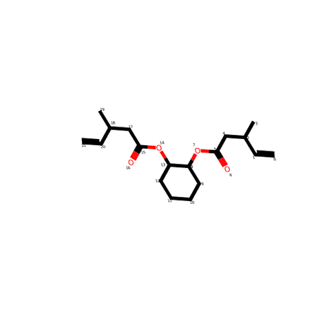 C=CC(C)CC(=O)OC1CCCCC1OC(=O)CC(C)C=C